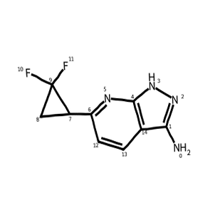 Nc1n[nH]c2nc(C3CC3(F)F)ccc12